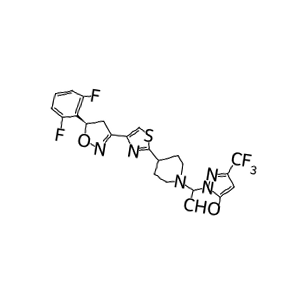 Cc1cc(C(F)(F)F)nn1C(C=O)N1CCC(c2nc(C3=NO[C@@H](c4c(F)cccc4F)C3)cs2)CC1